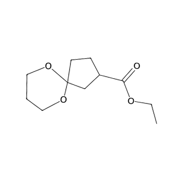 CCOC(=O)C1CCC2(C1)OCCCO2